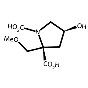 COC[C@@]1(C(=O)O)C[C@H](O)CN1C(=O)O